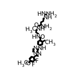 CCc1cc(Nc2nccn3c(-c4ccc(OC)c(F)c4F)cnc23)ccc1C(=O)NCCC(C)NC(=O)C(N)CCCNC(=N)N